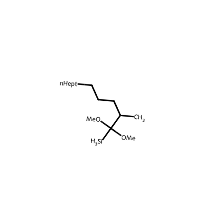 CCCCCCCCCCC(C)C([SiH3])(OC)OC